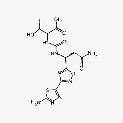 CC(O)C(NC(=O)N[C@@H](CC(N)=O)c1nc(-c2nnc(N)s2)no1)C(=O)O